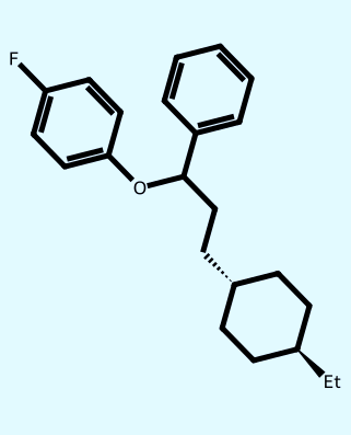 CC[C@H]1CC[C@H](CCC(Oc2ccc(F)cc2)c2ccccc2)CC1